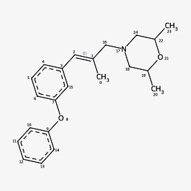 C/C(=C\c1cccc(Oc2ccccc2)c1)CN1CC(C)OC(C)C1